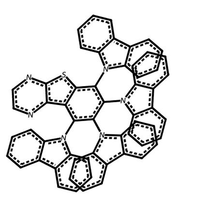 c1ccc2c(c1)c1ccccc1n2-c1c(-n2c3ccccc3c3ccccc32)c(-n2c3ccccc3c3ccccc32)c2c(sc3nccnc32)c1-n1c2ccccc2c2ccccc21